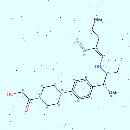 CNCC/C(=C/N[C@H](CF)[C@H](OC)c1ccc(N2CCN(C(=O)CO)CC2)cc1)N=N